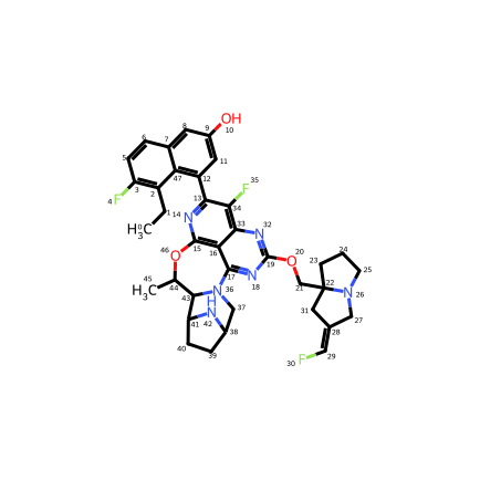 CCc1c(F)ccc2cc(O)cc(-c3nc4c5c(nc(OCC67CCCN6CC(=CF)C7)nc5c3F)N3CC5CCC(N5)C3C(C)O4)c12